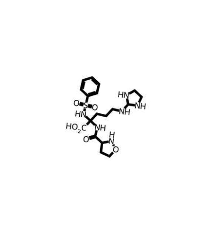 O=C(NC(CCCNC1NCCN1)(NS(=O)(=O)c1ccccc1)C(=O)O)C1CCON1